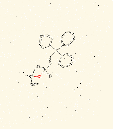 CC[Si](C=C[Si](c1ccccc1)(c1ccccc1)c1ccccc1)(CC)O[Si](C)(C)OC